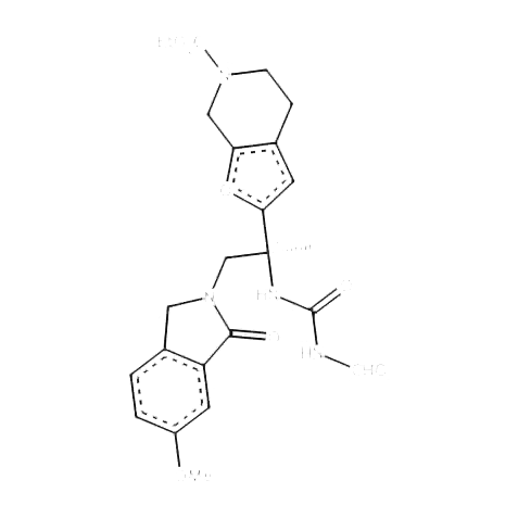 CCOC(=O)N1CCc2cc([C@](C)(CN3Cc4ccc(OC)cc4C3=O)NC(=O)NC=O)oc2C1